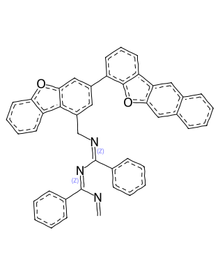 C=N/C(=N\C(=N/Cc1cc(-c2cccc3c2oc2cc4ccccc4cc23)cc2oc3ccccc3c12)c1ccccc1)c1ccccc1